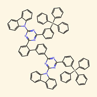 c1ccc([Si](c2ccccc2)(c2ccccc2)c2cccc(-c3nc(-c4cccc(-c5ccccc5-c5nc(-c6cccc([Si](c7ccccc7)(c7ccccc7)c7ccccc7)c6)nc(-n6c7ccccc7c7ccccc76)n5)c4)nc(-n4c5ccccc5c5ccccc54)n3)c2)cc1